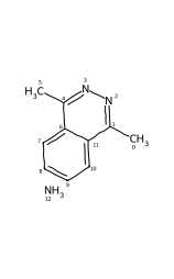 Cc1nnc(C)c2ccccc12.N